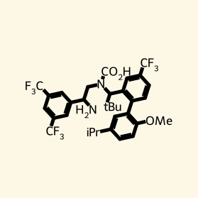 COc1ccc(C(C)C)cc1-c1ccc(C(F)(F)F)cc1C(N(CC(N)c1cc(C(F)(F)F)cc(C(F)(F)F)c1)C(=O)O)C(C)(C)C